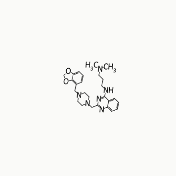 CN(C)CCCNc1nc(CN2CCN(Cc3cccc4c3OCO4)CC2)nc2ccccc12